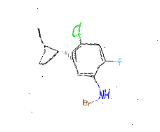 C[C@@H]1C[C@H]1c1cc(NBr)c(F)cc1Cl